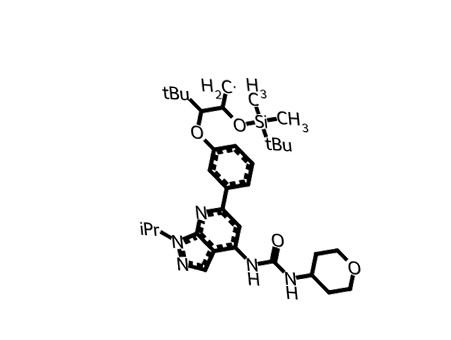 [CH2]C(O[Si](C)(C)C(C)(C)C)C(Oc1cccc(-c2cc(NC(=O)NC3CCOCC3)c3cnn(C(C)C)c3n2)c1)C(C)(C)C